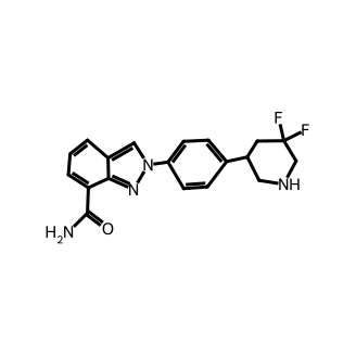 NC(=O)c1cccc2cn(-c3ccc(C4CNCC(F)(F)C4)cc3)nc12